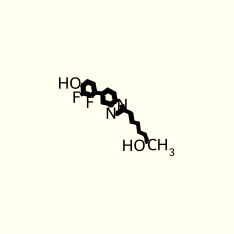 CC(O)CCCC=Cc1cnc2cc(-c3ccc(O)c(F)c3F)ccc2n1